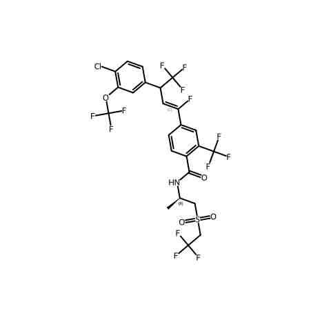 C[C@H](CS(=O)(=O)CC(F)(F)F)NC(=O)c1ccc(/C(F)=C/C(c2ccc(Cl)c(OC(F)(F)F)c2)C(F)(F)F)cc1C(F)(F)F